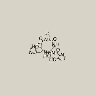 CC(C)CC1C(=O)N[C@H](C)[C@H](NC(=O)c2ncccc2O)C(=O)N[C@@H](Cc2cccnc2)[C@@H](O)[C@@H](C)C(=O)N1C